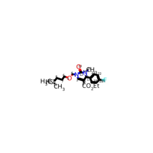 CCOC(=O)C1=CN(COCCC[SiH](C)C)C(=O)N(C)C1c1ccc(F)cc1